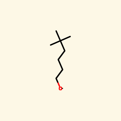 CC(C)(C)CCCC[O]